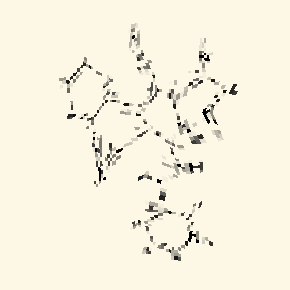 N#Cc1c(-c2ccccc2Cl)c(C#N)c2c(Br)cnn2c1NCc1cccnc1